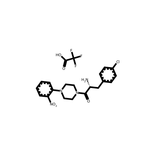 N[C@H](Cc1ccc(Cl)cc1)C(=O)N1CCN(c2ccccc2[N+](=O)[O-])CC1.O=C(O)C(F)(F)F